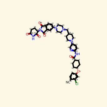 N#Cc1ccc(O[C@H]2CC[C@H](C(=O)Nc3ccc(N4CCC(CN5CCN(c6ccc7c(c6)C(=O)N(C6CCC(=O)NC6=O)C7=O)CC5)CC4)cn3)CC2)cc1Cl